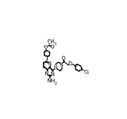 CC(=O)Oc1ccc(-c2ccc3nc(N)nc(N4CCN(C(=O)COc5ccc(Cl)cc5)CC4)c3n2)cc1